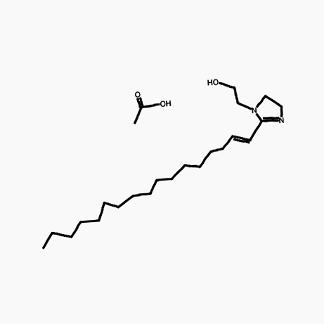 CC(=O)O.CCCCCCCCCCCCCCCC=CC1=NCCN1CCO